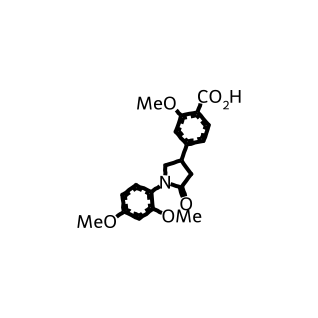 COc1ccc(N2CC(c3ccc(C(=O)O)c(OC)c3)CC2=O)c(OC)c1